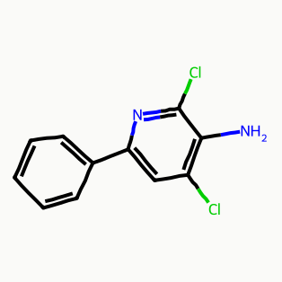 Nc1c(Cl)cc(-c2ccccc2)nc1Cl